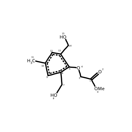 COC(=O)COc1c(CO)cc(C)cc1CO